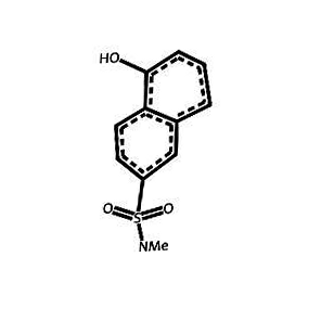 CNS(=O)(=O)c1ccc2c(O)cccc2c1